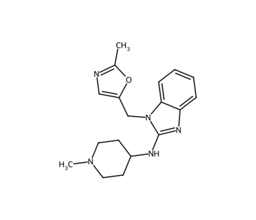 Cc1ncc(Cn2c(NC3CCN(C)CC3)nc3ccccc32)o1